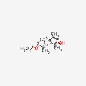 CCCOc1ccc(Cc2cc(C)c(O)cc2C)cc1C